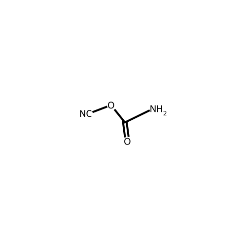 N#COC(N)=O